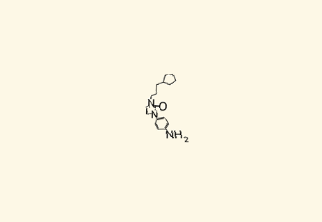 Nc1ccc(-n2ccn(CCCC3CCCC3)c2=O)cc1